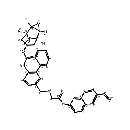 C[N+]1(C)[C@@H]2C[C@@H](OC(=O)Nc3ccc(CCCC(=O)Nc4ccc5cc(C=O)ccc5c4)cc3-c3ccccc3)C[C@H]1[C@@H]1O[C@@H]12